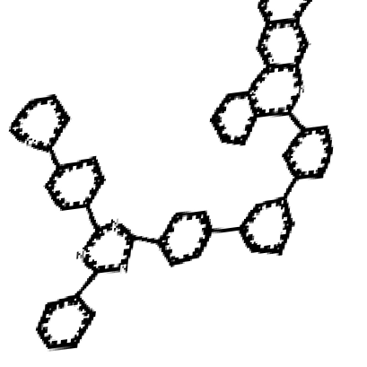 c1ccc(-c2ccc(-c3nc(-c4ccccc4)nc(-c4ccc(-c5cccc(-c6cccc(-c7nc8cc9ccccc9cc8c8ccccc78)c6)c5)cc4)n3)cc2)cc1